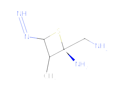 CC1C(N=N)S[C@]1(N)CN